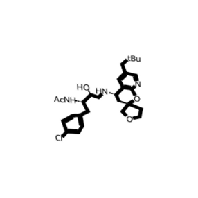 CC(=O)N[C@@H](Cc1ccc(Cl)cc1)[C@H](O)CN[C@H]1C[C@]2(CCOC2)Oc2ncc(CC(C)(C)C)cc21